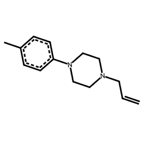 C=CCN1CCN(c2ccc(C)cc2)CC1